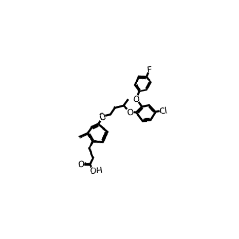 Cc1cc(OCCC(C)Oc2ccc(Cl)cc2Oc2ccc(F)cc2)ccc1CCC(=O)O